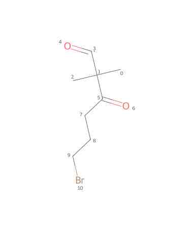 CC(C)([C]=O)C(=O)CCCBr